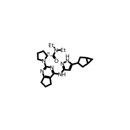 CCN(CC)C(=O)[C@H]1CCCN1c1nc2c(c(Nc3cc(C4CC5CC5C4)[nH]n3)n1)CCC2